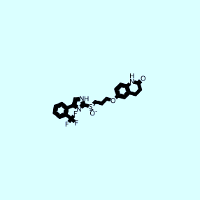 O=C1CCc2cc(OCCC[S+]([O-])c3nc(-c4ccccc4C(F)(F)F)c[nH]3)ccc2N1